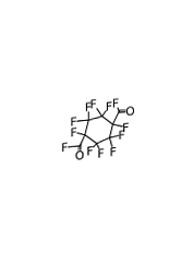 O=C(F)C1(F)C(F)(F)C(F)(F)C(F)(C(=O)F)C(F)(F)C1(F)F